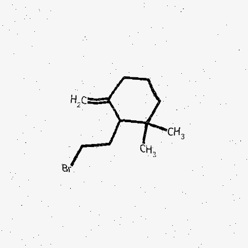 C=C1CCCC(C)(C)C1CCBr